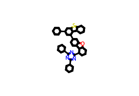 c1ccc(-c2cc(-c3ccc4c(c3)oc3cccc(-c5nc(-c6ccccc6)nc(-c6ccccc6)n5)c34)c3c(c2)sc2ccccc23)cc1